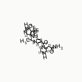 CC(Cn1ccc(C(=O)N2CCNCC2CC(N)=O)c1)Nc1cn[nH]c(=O)c1C(F)(F)F